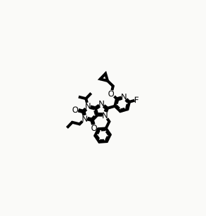 CCCn1c(=O)c2c(nc(-c3ccc(F)nc3OCC3CC3)n2Cc2ccccc2)n(C(C)C)c1=O